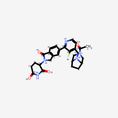 CC(=O)N1CC2CCC(C1)N2Cc1ccnc(-c2ccc3c(c2)CN(C2CCC(=O)NC2=O)C3=O)c1F